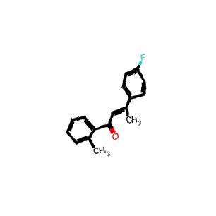 C/C(=C\C(=O)c1ccccc1C)c1ccc(F)cc1